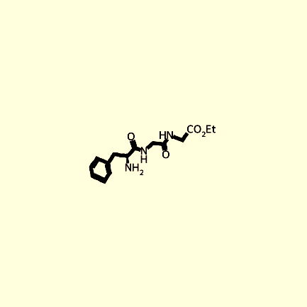 CCOC(=O)CNC(=O)CNC(=O)[C@@H](N)Cc1ccccc1